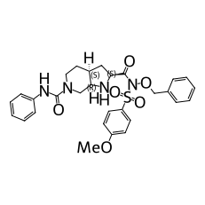 COc1ccc(S(=O)(=O)N(OCc2ccccc2)C(=O)[C@@H]2C[C@@H]3CCN(C(=O)Nc4ccccc4)C[C@@H]3N2)cc1